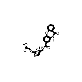 COC(=O)CSc1ncc(CNC(=O)c2ccc3c(c2)NC(=O)c2ccccc2O3)s1